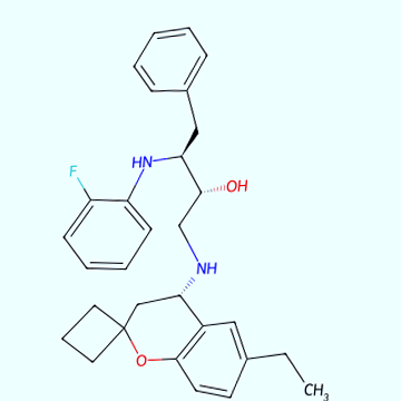 CCc1ccc2c(c1)[C@@H](NC[C@@H](O)[C@H](Cc1ccccc1)Nc1ccccc1F)CC1(CCC1)O2